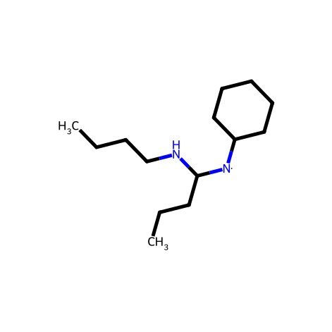 CCCCNC(CCC)[N]C1CCCCC1